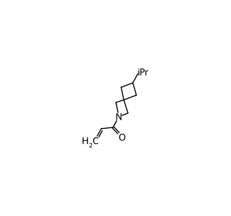 C=CC(=O)N1CC2(CC(C(C)C)C2)C1